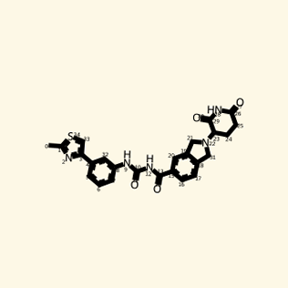 Cc1nc(-c2cccc(NC(=O)NC(=O)c3ccc4c(c3)CN(C3CCC(=O)NC3=O)C4)c2)cs1